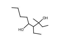 CCCCC(O)C(CC)C(C)(O)CC